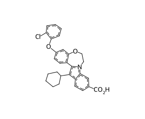 O=C(O)c1ccc2c(C3CCCCC3)c3n(c2c1)CCOc1cc(Oc2ccccc2Cl)ccc1-3